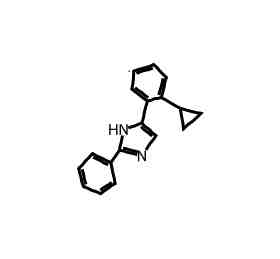 [c]1ccc(C2CC2)c(-c2cnc(-c3ccccc3)[nH]2)c1